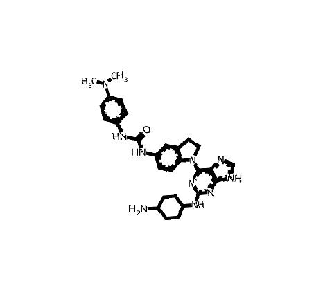 CN(C)c1ccc(NC(=O)Nc2ccc3c(c2)CCN3c2nc(NC3CCC(N)CC3)nc3[nH]cnc23)cc1